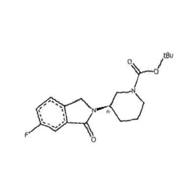 CC(C)(C)OC(=O)N1CCC[C@@H](N2Cc3ccc(F)cc3C2=O)C1